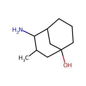 CC1CC2(O)CCCC(C2)C1N